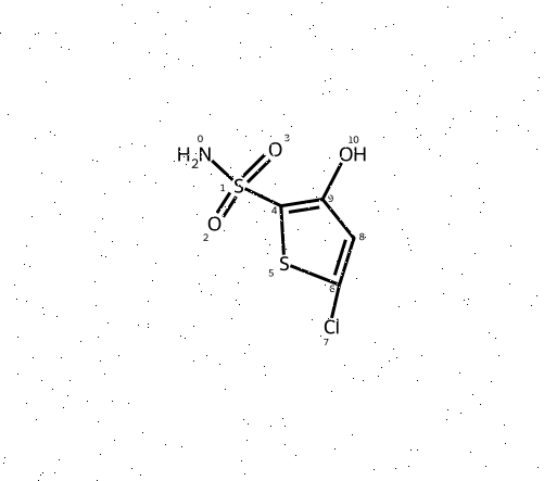 NS(=O)(=O)c1sc(Cl)cc1O